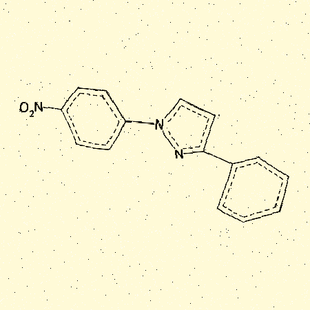 O=[N+]([O-])c1ccc(-n2c[c]c(-c3ccccc3)n2)cc1